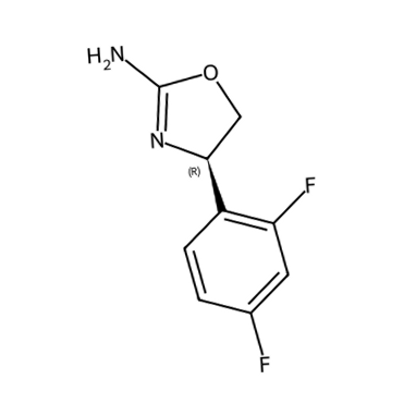 NC1=N[C@H](c2ccc(F)cc2F)CO1